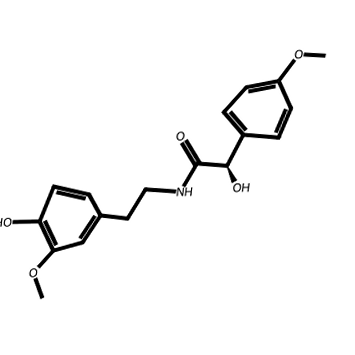 COc1ccc([C@@H](O)C(=O)NCCc2ccc(O)c(OC)c2)cc1